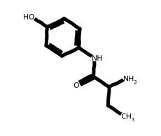 CCC(N)C(=O)Nc1ccc(O)cc1